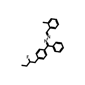 CCC(F)Cc1ccc(C(=NN=Cc2ccccc2C)c2ccccc2)cc1